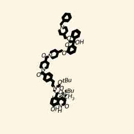 CC(C)(C)OC(=O)N(CCc1ccc(C(=O)N2CCC(C(=O)N3CCC(COc4cccc([C@](O)(C(=O)OCC5CCN(Cc6ccccc6)CC5)c5ccccc5)c4)CC3)CC2)cc1)C[C@H](O[Si](C)(C)C(C)(C)C)c1ccc(O)c2[nH]c(=O)ccc12